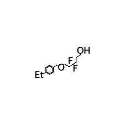 CCc1ccc(COCCC(F)(F)CCCO)cc1